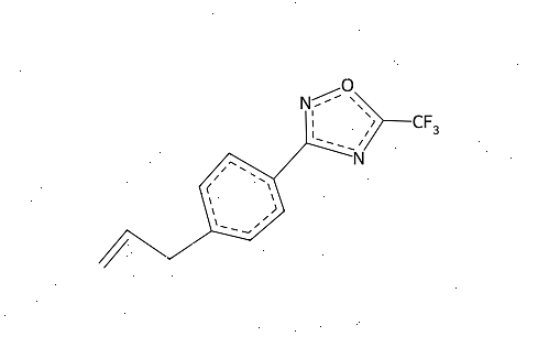 C=CCc1ccc(-c2noc(C(F)(F)F)n2)cc1